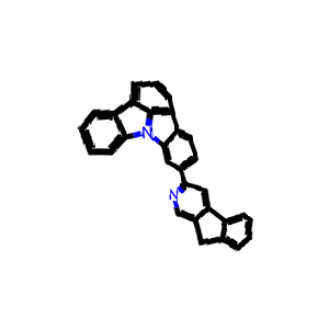 c1ccc2c(c1)Cc1cnc(-c3ccc4c5cccc6c7ccccc7n(c4c3)c65)cc1-2